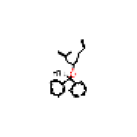 C=CCCC(CC(=C)C)O[Si](c1ccccc1)(c1ccccc1)C(C)(C)C